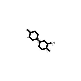 CC1CCC(C2CCC(C)C(C#N)C2)CC1